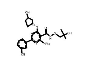 CNc1nc(-c2cccc(C#N)c2)nc(O[C@@H]2CCC(O)C2)c1C(=O)NOCC(C)(C)O